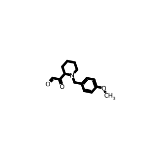 COc1ccc(CN2CCCCC2C(=O)C=O)cc1